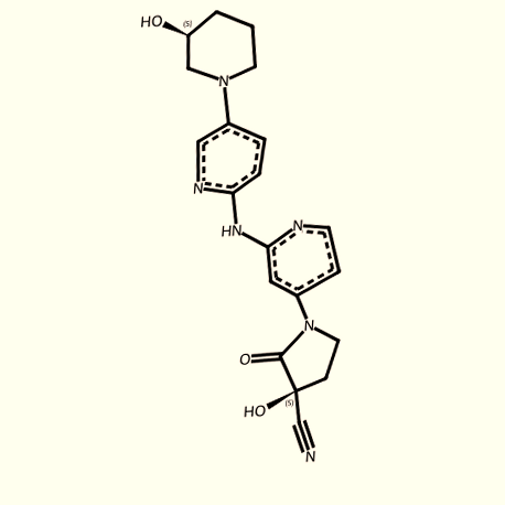 N#C[C@@]1(O)CCN(c2ccnc(Nc3ccc(N4CCC[C@H](O)C4)cn3)c2)C1=O